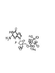 Nc1nc2c(ncn2[C@@H]2O[C@](CCl)(COP(=O)(O)OP(=O)(O)OP(=O)(O)O)[C@H](O)[C@@H]2F)c(=O)[nH]1